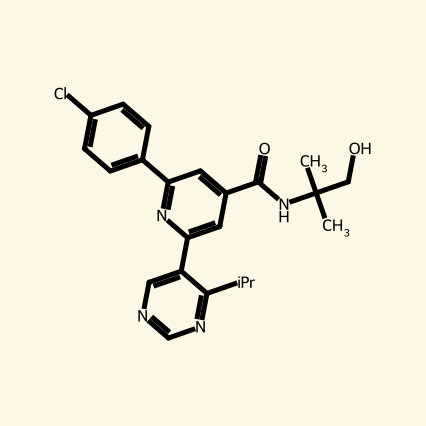 CC(C)c1ncncc1-c1cc(C(=O)NC(C)(C)CO)cc(-c2ccc(Cl)cc2)n1